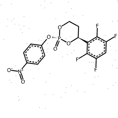 O=[N+]([O-])c1ccc(O[P@]2(=O)OCC[C@@H](c3c(F)c(F)cc(F)c3F)O2)cc1